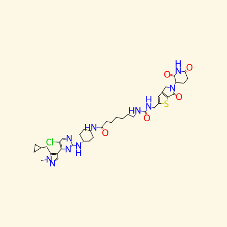 Cn1ncc(-c2nc(N[C@H]3CC[C@H](NC(=O)CCCCCCNC(=O)NCc4cc5c(s4)C(=O)N(C4CCC(=O)NC4=O)C5)CC3)ncc2Cl)c1CC1CC1